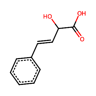 O=C(O)C(O)C=Cc1ccccc1